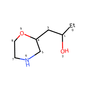 CCC(O)CC1CNCCO1